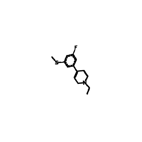 CCN1CC=C(c2cc(F)cc(SC)c2)CC1